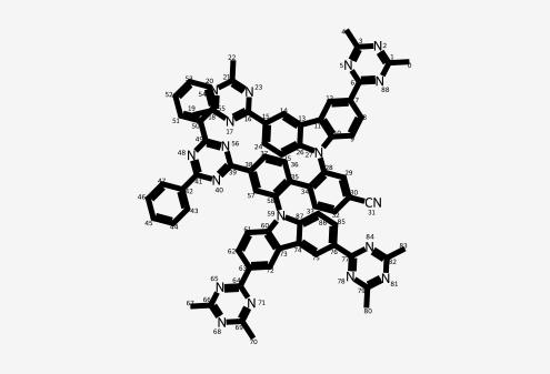 Cc1nc(C)nc(-c2ccc3c(c2)c2cc(-c4nc(C)nc(C)n4)ccc2n3-c2cc(C#N)ccc2-c2ccc(-c3nc(-c4ccccc4)nc(-c4ccccc4)n3)cc2-n2c3ccc(-c4nc(C)nc(C)n4)cc3c3cc(-c4nc(C)nc(C)n4)ccc32)n1